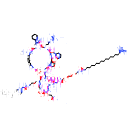 CCCC[C@H](NC(=O)[C@H](CCCCNC(=O)CN(CC(=O)O)CC(=O)O)NC(=O)[C@H](CO)NC(=O)[C@H](CCC(N)=O)NC(=O)[C@H](CO)NC(=O)CNC(=O)COCCOCCNC(=O)CCCCCCCCCCCCCCCc1nnn[nH]1)C(=O)N[C@H]1CCC(=O)NCCCC[C@@H](C(C)=O)NC(=O)[C@H](Cc2c[nH]c3ccccc23)NC(=O)[C@H](CCCNC(=N)N)NC(=O)[C@@H](Cc2ccccc2)NC(=O)[C@@H]2C[C@@H](O)CN2C1=O